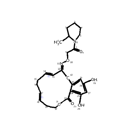 CC1CCCCN1C(=O)CON=C1/C=C/CC/C=C/CCOC(=O)c2c(O)cc(O)cc2C1